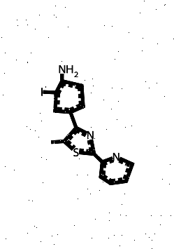 Cc1sc(-c2ccccn2)nc1-c1ccc(N)c(I)c1